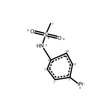 C[C](C)c1ccc(NS(C)(=O)=O)cc1